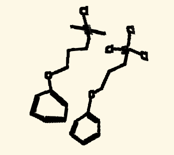 C[Si](C)(Cl)CCCOc1ccccc1.Cl[Si](Cl)(Cl)CCCOc1ccccc1